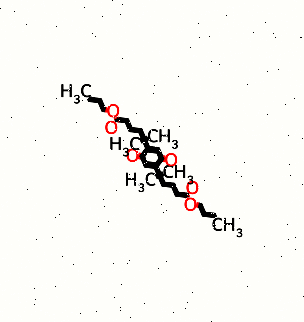 CCCCOC(=O)CCCC(C)(C)C1=CC(=O)C(C(C)(C)CCCC(=O)OCCCC)=CC1=O